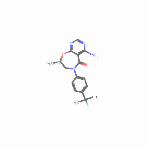 C[C@@H]1CN(c2ccc(C(C)(C)F)cc2)C(=O)c2c(N)ncnc2O1